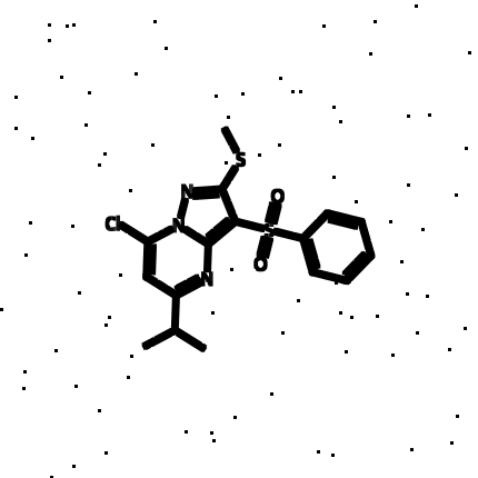 CSc1nn2c(Cl)cc(C(C)C)nc2c1S(=O)(=O)c1ccccc1